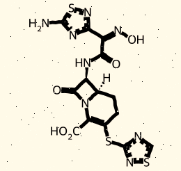 Nc1nc(/C(=N/O)C(=O)N[C@@H]2C(=O)N3C(C(=O)O)=C(Sc4ncsn4)CC[C@H]23)ns1